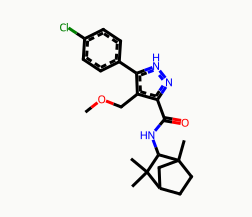 COCc1c(C(=O)NC2C3(C)CCC(C3)C2(C)C)n[nH]c1-c1ccc(Cl)cc1